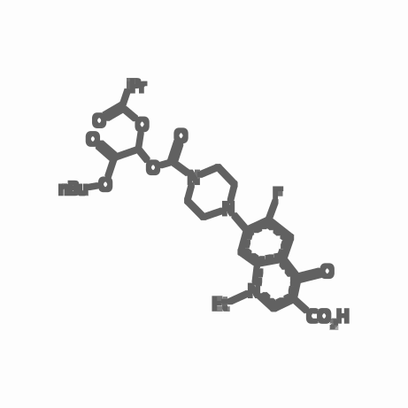 CCCCOC(=O)C(OC(=O)C(C)C)OC(=O)N1CCN(c2cc3c(cc2F)c(=O)c(C(=O)O)cn3CC)CC1